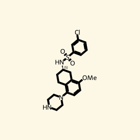 COc1ccc(N2CCNCC2)c2c1C[C@@H](NS(=O)(=O)c1cccc(Cl)c1)CC2